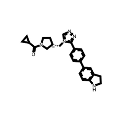 O=C(C1CC1)N1CC[C@H](Cn2cnnc2-c2ccc(-c3ccc4c(c3)CCN4)cc2)C1